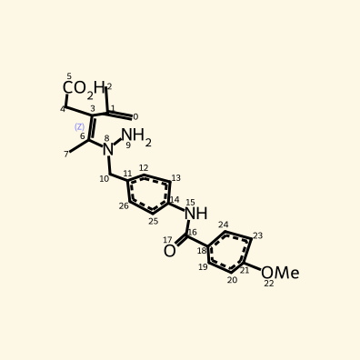 C=C(C)/C(CC(=O)O)=C(/C)N(N)Cc1ccc(NC(=O)c2ccc(OC)cc2)cc1